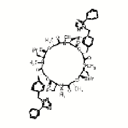 CC(C)C[C@H]1C(=O)O[C@H](Cc2ccc(Cn3ncnc3-c3ccccc3)cc2)C(=O)N(C)[C@@H](CC(C)C)C(=O)O[C@H](C)C(=O)N(C)[C@@H](CC(C)C)C(=O)O[C@H](Cc2ccc(Cn3ncnc3-c3ccccc3)cc2)C(=O)N(C)[C@@H](CC(C)C)C(=O)O[C@H](C)C(=O)N1C